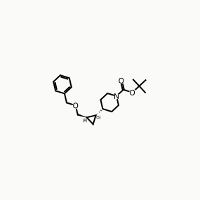 CC(C)(C)OC(=O)N1CCC([C@@H]2C[C@H]2COCc2ccccc2)CC1